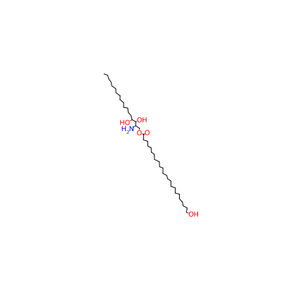 CCCCCCCCCCCCCCC(O)C(O)C(N)COC(=O)CCCCCCCCCCCCCCCCCCCCCCCO